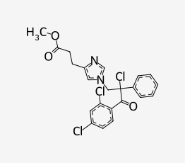 COC(=O)CCc1cn(CC(Cl)(C(=O)c2ccc(Cl)cc2Cl)c2ccccc2)cn1